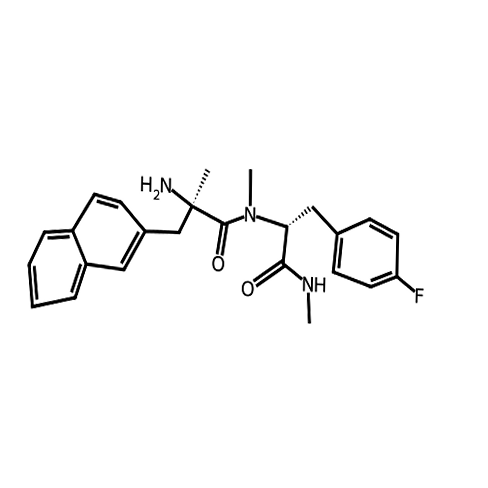 CNC(=O)[C@@H](Cc1ccc(F)cc1)N(C)C(=O)[C@](C)(N)Cc1ccc2ccccc2c1